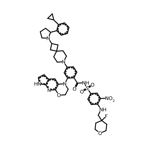 O=C(NS(=O)(=O)c1ccc(NCC2(F)CCOCC2)c([N+](=O)[O-])c1)c1ccc(N2CCC3(CC2)CC(N2CCCC2c2ccccc2C2CC2)C3)cc1N1CCOc2nc3[nH]ccc3cc21